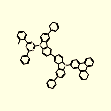 Cc1ccccc1-c1nc(-c2ccccc2)nc(-n2c3ccc(C4=CC5c6cc(-c7ccccc7)ccc6N(c6ccc7c(c6)c6c(c8ccccc87)CCC=C6)C5C=C4)cc3c3cc(C4=CC=CCC4)ccc32)n1